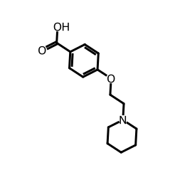 O=C(O)c1ccc(OCCN2CCCCC2)cc1